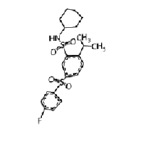 CC(C)c1ccc(S(=O)(=O)c2ccc(F)cc2)cc1S(=O)(=O)NC1CCCCC1